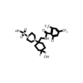 CCCS(=O)(=O)N1CCN(C2(CNC(=O)c3c(Cl)cc(C(F)(F)F)cc3C(F)(F)F)CCC(F)(F)CC2)CC1.Cl